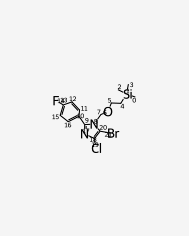 C[Si](C)(C)CCOCn1c(-c2ccc(F)cc2)nc(Cl)c1Br